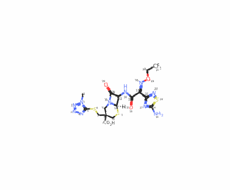 Cn1nnnc1SCC1(C(=O)O)CS[C@@H]2C(NC(=O)C(=NOCC(F)(F)F)c3nsc(N)n3)C(=O)N2C1